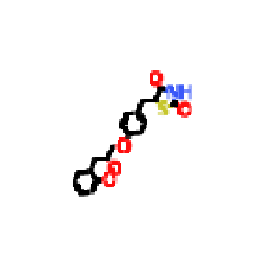 O=C1NC(=O)C(Cc2ccc(OCC3Cc4ccccc4OO3)cc2)S1